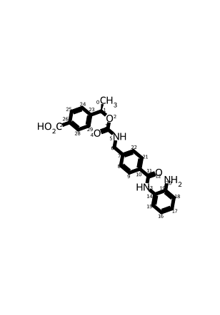 C[C@@H](OC(=O)NCc1ccc(C(=O)Nc2ccccc2N)cc1)c1ccc(C(=O)O)cc1